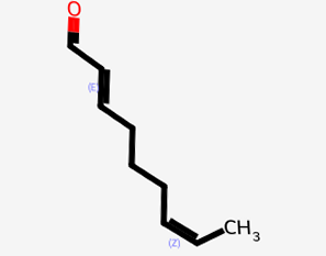 C/C=C\CCC/C=C/C=O